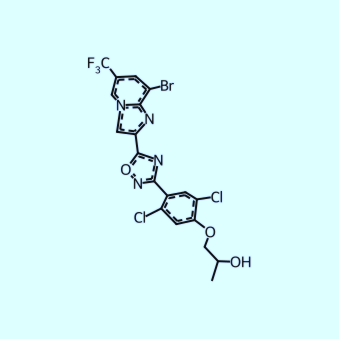 CC(O)COc1cc(Cl)c(-c2noc(-c3cn4cc(C(F)(F)F)cc(Br)c4n3)n2)cc1Cl